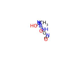 Cn1ncc(CO)c1N1CCC(NC(=O)c2ccc(-c3nccc4occc34)cc2)CC1